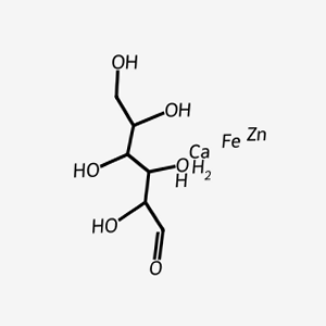 O=CC(O)C(O)C(O)C(O)CO.[CaH2].[Fe].[Zn]